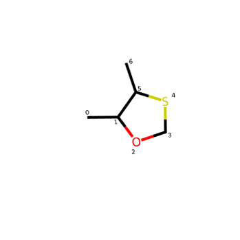 CC1OCSC1C